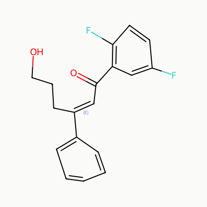 O=C(/C=C(\CCCO)c1ccccc1)c1cc(F)ccc1F